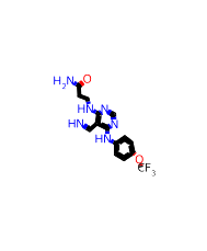 N=Cc1c(NCCC(N)=O)ncnc1Nc1ccc(OC(F)(F)F)cc1